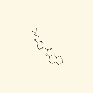 CC(C)(C)[Si](C)(C)Oc1ccc(C(=O)OC2CCC3CCCCC3C2)cc1